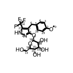 COc1ccc(Cc2c(O[C@@H]3O[C@H](CO)[C@@H](O)[C@H](O)[C@H]3O)n[nH]c2C(F)(F)F)cc1